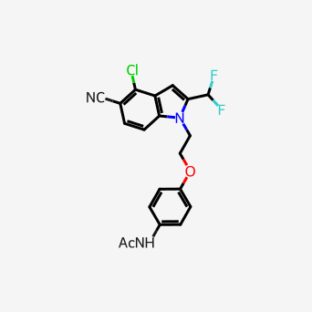 CC(=O)Nc1ccc(OCCn2c(C(F)F)cc3c(Cl)c(C#N)ccc32)cc1